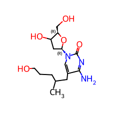 CC(CCCO)Cc1cn([C@H]2CC(O)[C@@H](CO)O2)c(=O)nc1N